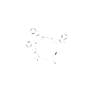 C=CCN1C#COCN[C@H](Cc2c[nH]c3ccccc23)C(=O)N[C@@H](C)C(=O)N[C@@H](Cc2c[nH]c3ccccc23)C(=O)N[C@H](Cc2ccccc2)C(=O)N[C@H](C(N)=O)CCCC1